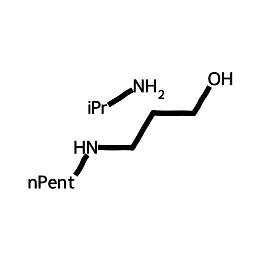 CC(C)N.CCCCCNCCCO